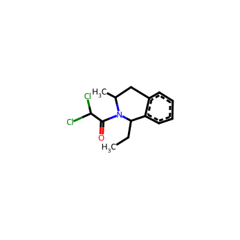 CCC1c2ccccc2CC(C)N1C(=O)C(Cl)Cl